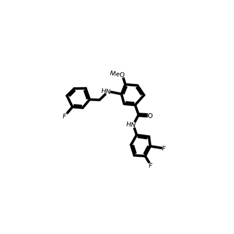 COc1ccc(C(=O)Nc2ccc(F)c(F)c2)cc1NCc1cccc(F)c1